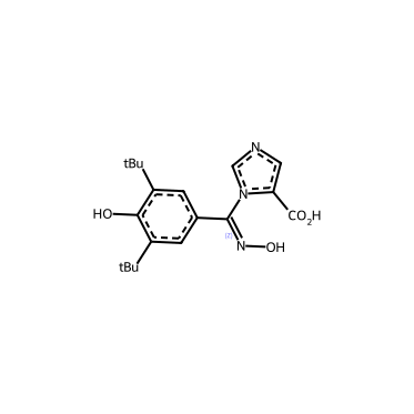 CC(C)(C)c1cc(/C(=N/O)n2cncc2C(=O)O)cc(C(C)(C)C)c1O